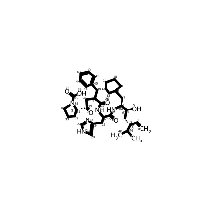 C=C[C@@H](C[C@H](O)[C@H](CC1CCCCC1)NC(=O)C(Cc1c[nH]cn1)NC(=O)C(CC(=O)[C@@H]1CCCN1C(=O)O)Cc1ccccc1)C(C)C